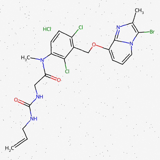 C=CCNC(=O)NCC(=O)N(C)c1ccc(Cl)c(COc2cccn3c(Br)c(C)nc23)c1Cl.Cl